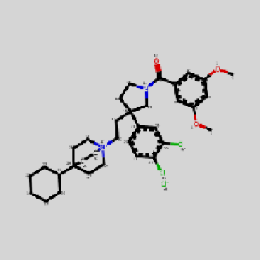 COc1cc(OC)cc(C(=O)N2CCC(CC[N+]34CCC(C5CCCCC5)(CC3)CC4)(c3ccc(Cl)c(Cl)c3)C2)c1.[Cl-]